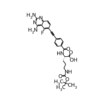 CC(C)(C)OC(=O)NCCC[C@H](NC(=O)c1ccc(C#Cc2ccc3nc(N)nc(N)c3c2F)cc1)C(=O)O